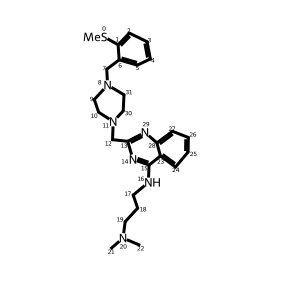 CSc1ccccc1CN1CCN(Cc2nc(NCCCN(C)C)c3ccccc3n2)CC1